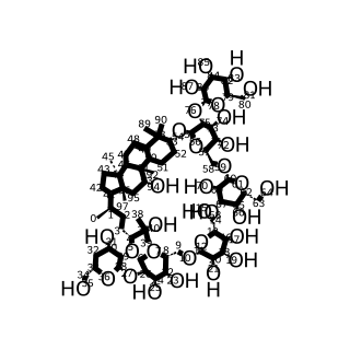 C[C@H](CC[C@@H](O[C@@H]1O[C@H](CO[C@@H]2O[C@H](CO)[C@@H](O)[C@H](O)[C@H]2O)[C@@H](O)[C@H](O)[C@H]1O[C@H]1C[C@@H](O)C[C@@H](CO)O1)C(C)(C)O)C1CC[C@@]2(C)C3CC=C4C(CC[C@H](O[C@@H]5O[C@H](CO[C@@H]6O[C@H](CO)[C@@H](O)[C@H](O)[C@H]6O)[C@@H](O)[C@H](O)[C@H]5O[C@@H]5O[C@H](CO)[C@@H](O)[C@H](O)[C@H]5O)C4(C)C)[C@]3(C)[C@H](O)C[C@]12C